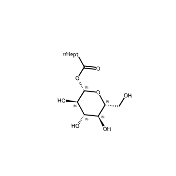 CCCCCCCC(=O)O[C@@H]1O[C@H](CO)[C@@H](O)[C@H](O)[C@H]1O